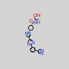 CC(CO)NC(=O)[C@H]1CC[C@H](n2cc(-c3cnc(-c4cccc(-c5cnn(C)c5)c4)nc3)cn2)CC1